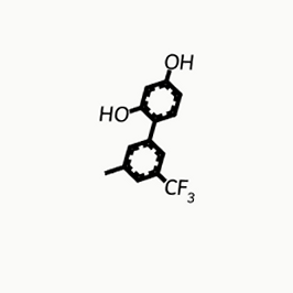 Cc1cc(-c2ccc(O)cc2O)cc(C(F)(F)F)c1